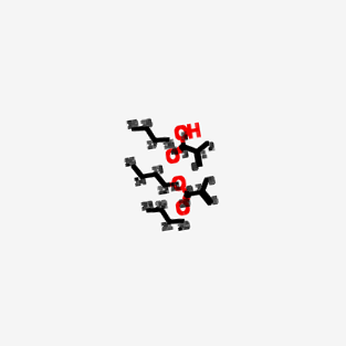 C=C(C)C(=O)O.C=C(C)C(=O)OCCCC.CCCC.CCCC